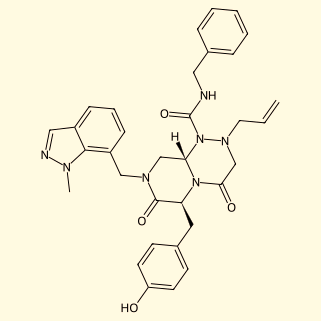 C=CCN1CC(=O)N2[C@@H](Cc3ccc(O)cc3)C(=O)N(Cc3cccc4cnn(C)c34)C[C@@H]2N1C(=O)NCc1ccccc1